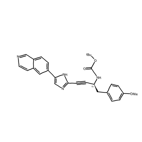 COc1ccc(C[C@@H](C#Cc2ncc(-c3ccc4cnccc4c3)[nH]2)NC(=O)OC(C)(C)C)cc1